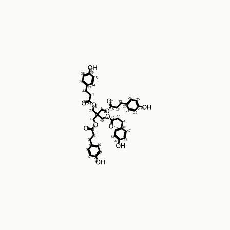 O=C(CCc1ccc(O)cc1)OCC(COC(=O)CCc1ccc(O)cc1)(COC(=O)CCc1ccc(O)cc1)COC(=O)CCc1ccc(O)cc1